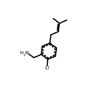 CC(C)=CCc1ccc(Cl)c(CN)c1